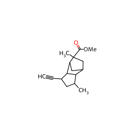 C#CC1CC(C)C2C3CC(C12)C(C)(C(=O)OC)C3